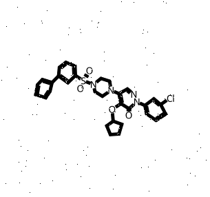 O=c1c(OC2CCCC2)c(N2CCN(S(=O)(=O)c3cccc(-c4ccccc4)c3)CC2)cnn1-c1cccc(Cl)c1